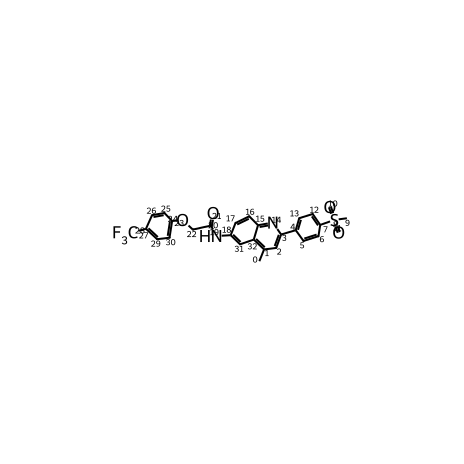 Cc1cc(-c2ccc(S(C)(=O)=O)cc2)nc2ccc(NC(=O)COc3ccc(C(F)(F)F)cc3)cc12